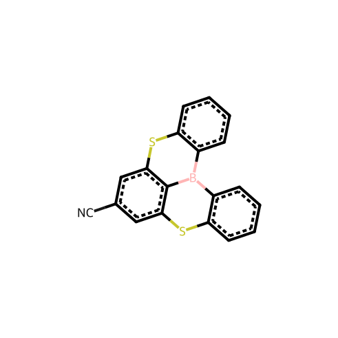 N#Cc1cc2c3c(c1)Sc1ccccc1B3c1ccccc1S2